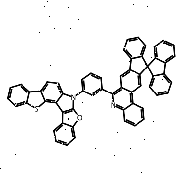 c1cc(-c2nc3ccccc3c3cc4c(cc23)-c2ccccc2C42c3ccccc3-c3ccccc32)cc(-n2c3ccc4c5ccccc5sc4c3c3c4ccccc4oc32)c1